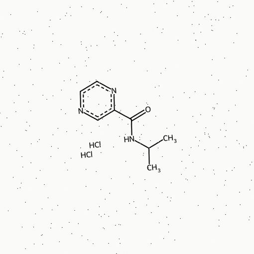 CC(C)NC(=O)c1cnccn1.Cl.Cl